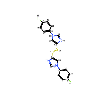 Fc1ccc(-n2cnc(SSc3cn(-c4ccc(F)cc4)cn3)c2)cc1